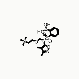 Cc1noc(N(COCC[Si](C)(C)C)S(=O)(=O)c2ccccc2B(O)O)c1C